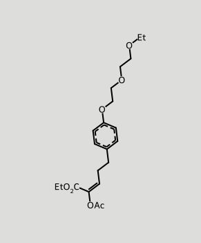 CCOCCOCCOc1ccc(CCC=C(OC(C)=O)C(=O)OCC)cc1